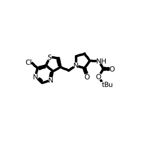 CC(C)(C)OC(=O)NC1CCN(Cc2csc3c(Cl)ncnc23)C1=O